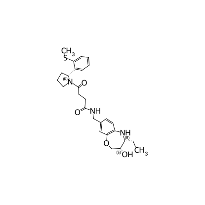 CC[C@H]1Nc2ccc(CNC(=O)CCC(=O)N3CCC[C@@H]3c3ccccc3SC)cc2OC[C@H]1O